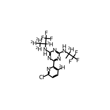 [2H]c1ccc(Cl)nc1-c1nc(NC([2H])(C)C(F)(F)F)nc(NC([2H])(C([2H])([2H])[2H])C(F)(F)F)n1